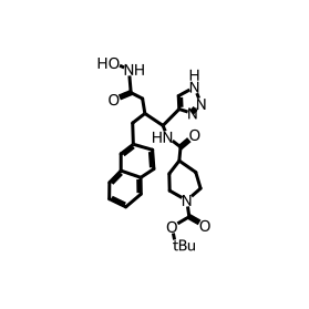 CC(C)(C)OC(=O)N1CCC(C(=O)NC(c2c[nH]nn2)C(CC(=O)NO)Cc2ccc3ccccc3c2)CC1